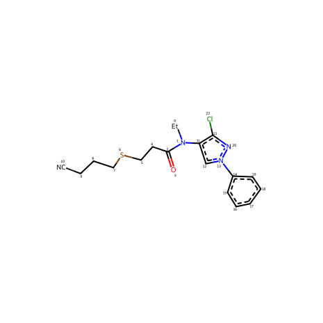 CCN(C(=O)CCSCCCC#N)c1cn(-c2ccccc2)nc1Cl